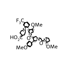 COC[C@H]1CN(C(=O)[C@@H]2CN(CC(=O)N3CCC[C@@H]3COC)C[C@H]2c2ccc(OC)cc2)C[C@@H]1c1ccc(C(F)(F)F)cc1N1CCC(C(=O)O)CC1